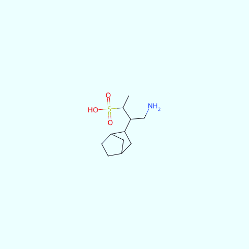 CC(C(CN)C1CC2CCC1C2)S(=O)(=O)O